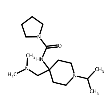 CC(C)N1CCC(CN(C)C)(NC(=O)N2CCCC2)CC1